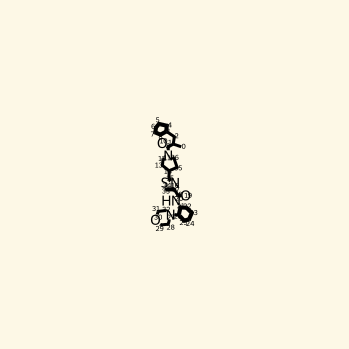 CC(Cc1ccccc1)C(=O)N1CCC(c2nc(C(=O)Nc3ccccc3N3CCOCC3)cs2)CC1